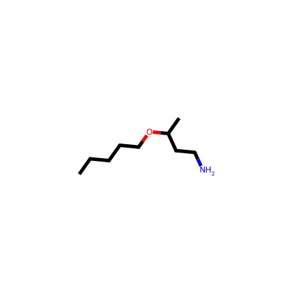 CCCCCOC(C)CCN